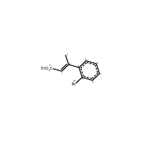 CCOC(=O)C=C(C)c1ccccc1Br